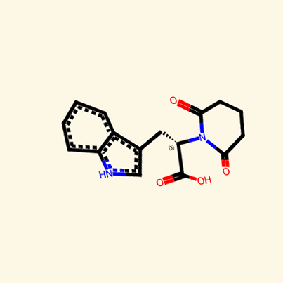 O=C(O)[C@H](Cc1c[nH]c2ccccc12)N1C(=O)CCCC1=O